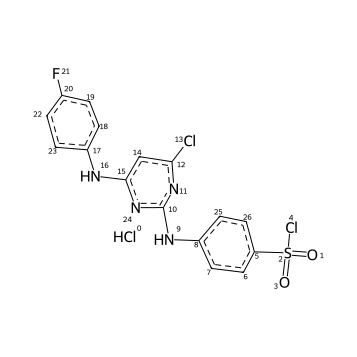 Cl.O=S(=O)(Cl)c1ccc(Nc2nc(Cl)cc(Nc3ccc(F)cc3)n2)cc1